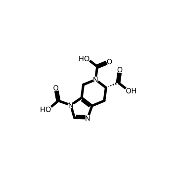 O=C(O)[C@@H]1Cc2ncn(C(=O)O)c2CN1C(=O)O